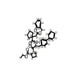 CCOC(=O)[C@@H]1CCCN1C(=O)[C@H](Cc1ccc(-c2ccccc2)cc1)NC(=O)C1(CC(=O)OCc2ccccc2)CCCC1